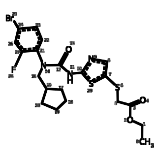 CCOC(=O)CSc1cnc(NC(=O)N(CC2CCCC2)c2ccc(Br)cc2F)s1